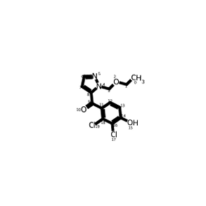 CCOCn1nccc1C(=O)c1ccc(O)c(Cl)c1Cl